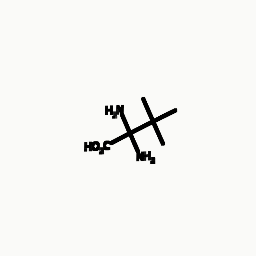 CC(C)(C)C(N)(N)C(=O)O